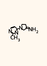 Cc1nccc(N2CC[C@H](N)C2)n1